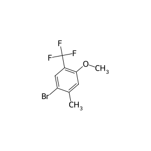 COc1cc(C)c(Br)cc1C(F)(F)F